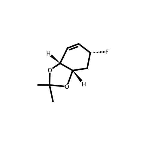 CC1(C)O[C@H]2C[C@@H](F)C=C[C@H]2O1